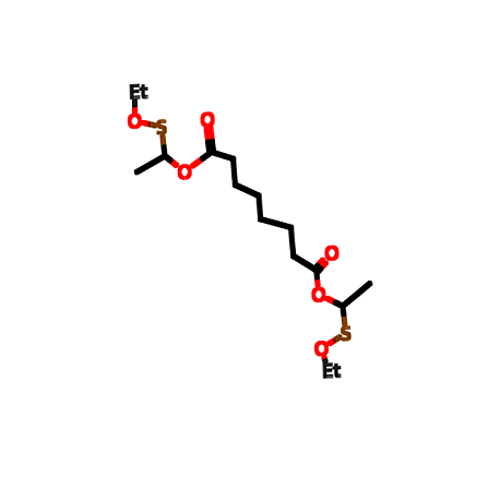 CCOSC(C)OC(=O)CCCCCCC(=O)OC(C)SOCC